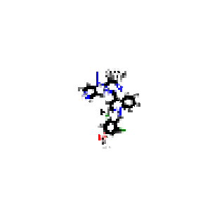 CCOc1cc(F)c(CN2c3ccccc3C(c3ncc(OC)c(Nc4ccncc4C)n3)=CC2CC)c(F)c1